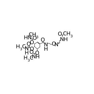 CNC(=O)O[C@@H]1[C@H](OC(=O)NC)C=C(C(=O)NCCO/N=C\CNC(C)=O)C[C@H]1OC(=O)NC